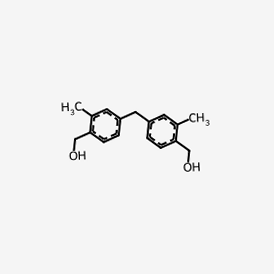 Cc1cc(Cc2ccc(CO)c(C)c2)ccc1CO